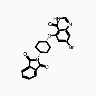 O=C1c2ccccc2C(=O)N1[C@H]1CC[C@@H](Oc2cc(Br)cc3nc[nH]c(=O)c23)CC1